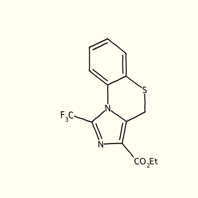 CCOC(=O)c1nc(C(F)(F)F)n2c1CSc1ccccc1-2